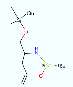 C=CCC(CO[Si](C)(C)C(C)(C)C)N[S@@+]([O-])C(C)(C)C